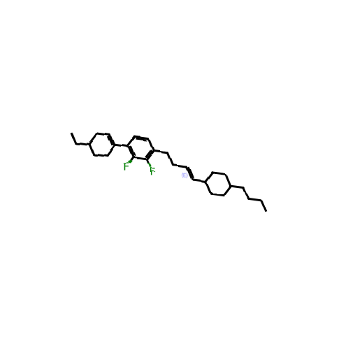 CCCCC1CCC(/C=C/CCc2ccc(C3=CCC(CC)CC3)c(F)c2F)CC1